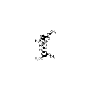 CCOC(=O)c1cnn(C)c1NS(=O)(=O)NC(=O)Nc1nc(OC)cc(OC)n1